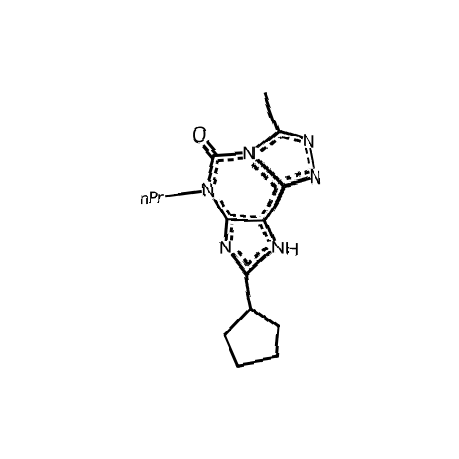 CCCn1c(=O)n2c(C)nnc2c2[nH]c(C3CCCC3)nc21